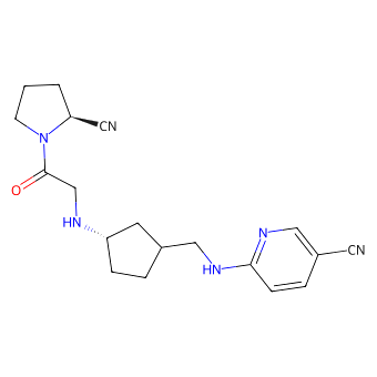 N#Cc1ccc(NCC2CC[C@H](NCC(=O)N3CCC[C@H]3C#N)C2)nc1